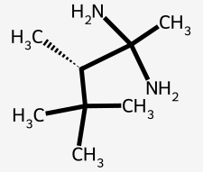 C[C@@H](C(C)(C)C)C(C)(N)N